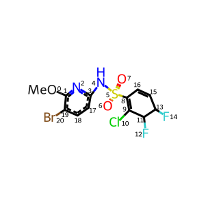 COc1nc(NS(=O)(=O)C2=C(Cl)C(F)C(F)C=C2)ccc1Br